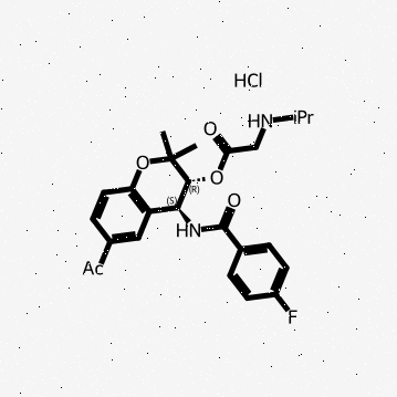 CC(=O)c1ccc2c(c1)[C@H](NC(=O)c1ccc(F)cc1)[C@@H](OC(=O)CNC(C)C)C(C)(C)O2.Cl